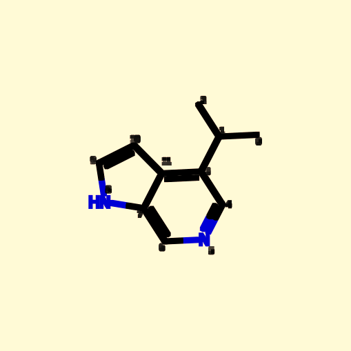 CC(C)c1cncc2[nH]ccc12